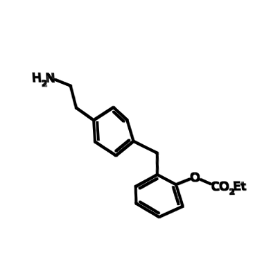 CCOC(=O)Oc1ccccc1Cc1ccc(CCN)cc1